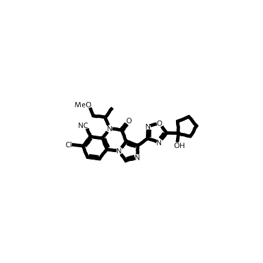 COCC(C)n1c(=O)c2c(-c3noc(C4(O)CCCC4)n3)ncn2c2ccc(Cl)c(C#N)c21